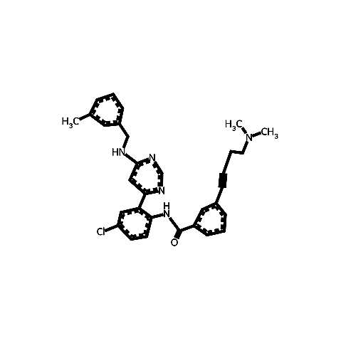 Cc1cccc(CNc2cc(-c3cc(Cl)ccc3NC(=O)c3cccc(C#CCCN(C)C)c3)ncn2)c1